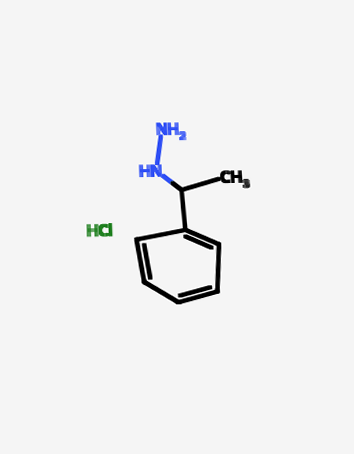 CC(NN)c1ccccc1.Cl